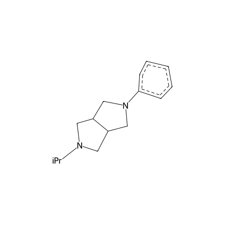 CC(C)N1CC2CN(c3ccccc3)CC2C1